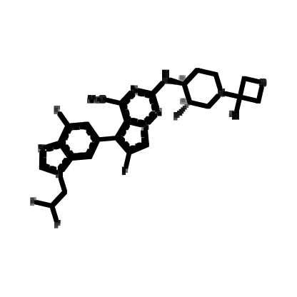 [2H]C1(N2CC[C@H](Nc3nc(OC)c4c(-c5cc(F)c6ncn(CC(F)F)c6c5)c(F)cn4n3)[C@@H](F)C2)COC1